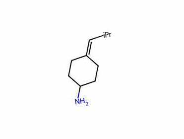 CC(C)C=C1CCC(N)CC1